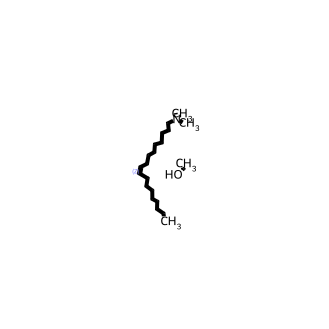 CCCCCCCC/C=C\CCCCCCCCN(C)C.CCO